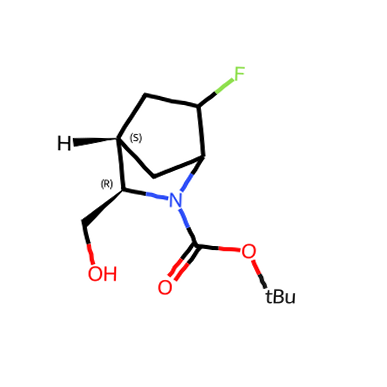 CC(C)(C)OC(=O)N1C2C[C@@H](CC2F)[C@@H]1CO